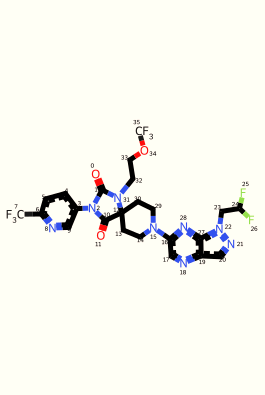 O=C1N(c2ccc(C(F)(F)F)nc2)C(=O)C2(CCN(c3cnc4cnn(CC(F)F)c4n3)CC2)N1CCOC(F)(F)F